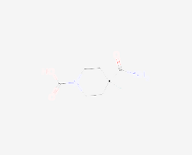 NC(=O)C1(F)CCN(C(=O)O)CC1